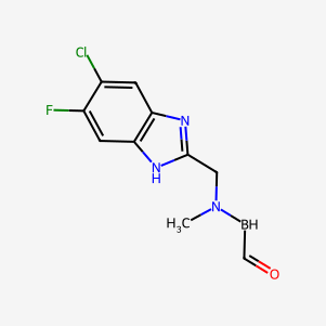 CN(BC=O)Cc1nc2cc(Cl)c(F)cc2[nH]1